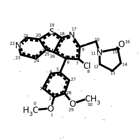 COc1ccc(-c2c(Cl)c(CN3CCCC3=O)nc3sc4cnccc4c23)cc1OC